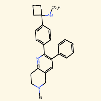 CCN1CCc2nc(-c3ccc(C4(NC(=O)O)CCC4)cc3)c(-c3ccccc3)cc2C1